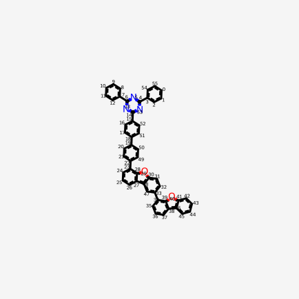 c1ccc(-c2nc(-c3ccccc3)nc(-c3ccc(-c4ccc(-c5cccc6c5oc5ccc(-c7cccc8c7oc7ccccc78)cc56)cc4)cc3)n2)cc1